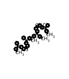 Cc1ccc(N(c2ccc(-c3ccc(N(c4ccccc4)c4ccc5c(ccc6sc7ccc8cc(N(c9ccccc9)c9cccc(C)c9)ccc8c7c65)c4)cc3C)cc2)c2ccc3c(ccc4sc5ccc6cc(N(c7ccc(C)cc7)c7ccccc7C)ccc6c5c43)c2)cc1